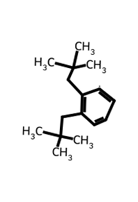 CC(C)(C)Cc1[c]cccc1CC(C)(C)C